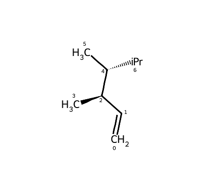 C=C[C@@H](C)[C@H](C)C(C)C